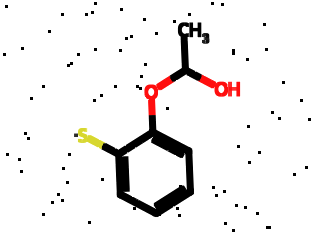 CC(O)Oc1ccccc1[S]